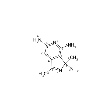 CC1=NC(C)(N)c2c(N)nc(N)nc21